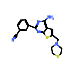 N#Cc1cccc(-c2nc(N)c3cc(CN4CCSCC4)sc3n2)c1